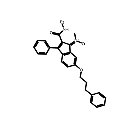 CCNC(=O)C1=C(c2ccccc2)c2ccc(OCCCc3ccccc3)cc2/C1=[N+](/C)[O-]